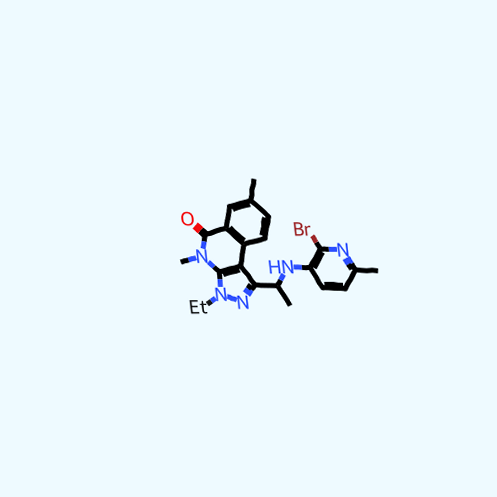 CCn1nc(C(C)Nc2ccc(C)nc2Br)c2c3ccc(C)cc3c(=O)n(C)c21